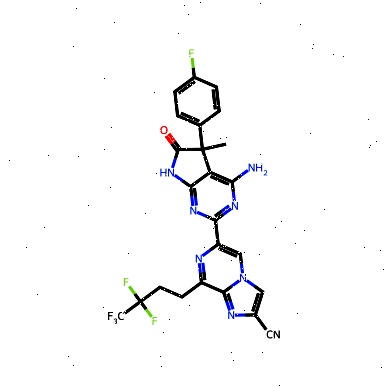 CC1(c2ccc(F)cc2)C(=O)Nc2nc(-c3cn4cc(C#N)nc4c(CCC(F)(F)C(F)(F)F)n3)nc(N)c21